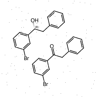 O=C(Cc1ccccc1)c1cccc(Br)c1.O[C@H](Cc1ccccc1)c1cccc(Br)c1